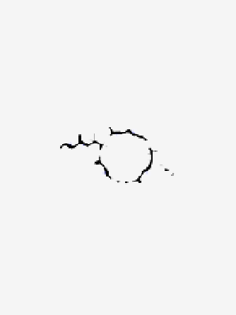 C/C=C/C(C)=C/[C@@H](C)[C@H]1C/C(C)=C/C=C/CC[C@@H](O)[C@H](SPN=O)/C=C/C(=O)CCC/C=C/C(=O)O1